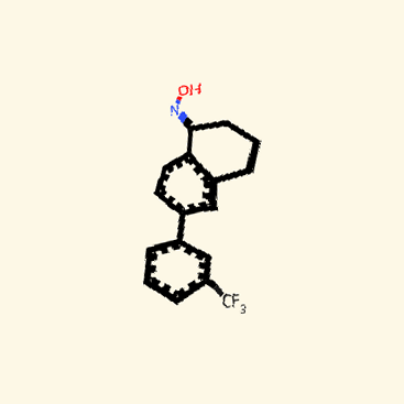 ON=C1CCCc2cc(-c3cccc(C(F)(F)F)c3)ccc21